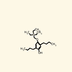 CCCCc1cc(OC[Si](CC)(CC)CC)c(CCCC)cc1O